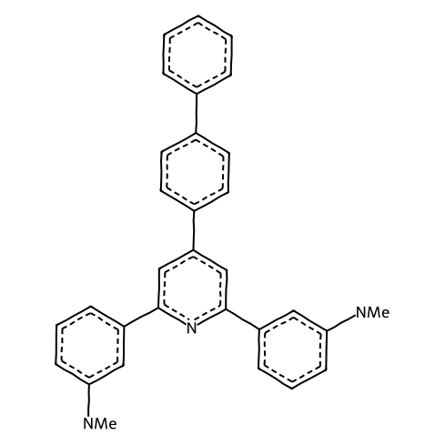 CNc1cccc(-c2cc(-c3ccc(-c4ccccc4)cc3)cc(-c3cccc(NC)c3)n2)c1